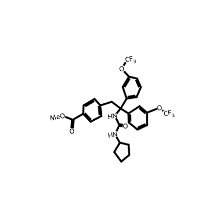 COC(=O)c1ccc(CC(NC(=O)NC2CCCC2)(c2cccc(OC(F)(F)F)c2)c2cccc(OC(F)(F)F)c2)cc1